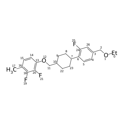 CCOCc1ccc(C2CCC(COc3ccc(C)c(F)c3F)CC2)c(F)c1